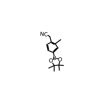 Cc1cc(B2OC(C)(C)C(C)(C)O2)ccc1CC#N